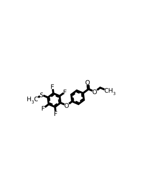 CCOC(=O)c1ccc(Oc2c(F)c(F)c(SC)c(F)c2F)cc1